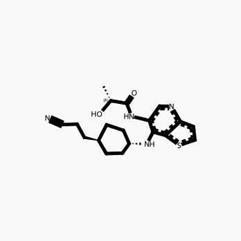 C[C@@H](O)C(=O)Nc1cnc2ccsc2c1N[C@H]1CC[C@H](CCC#N)CC1